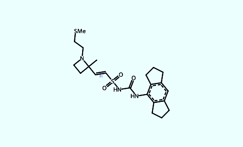 CSCCN1CCC1(C)/C=C/S(=O)(=O)NC(=O)Nc1c2c(cc3c1CCC3)CCC2